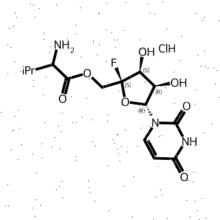 CC(C)C(N)C(=O)OC[C@@]1(F)O[C@@H](n2ccc(=O)[nH]c2=O)[C@H](O)[C@@H]1O.Cl